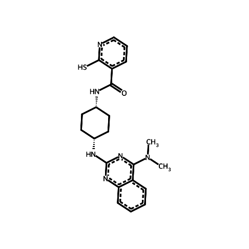 CN(C)c1nc(N[C@H]2CC[C@@H](NC(=O)c3cccnc3S)CC2)nc2ccccc12